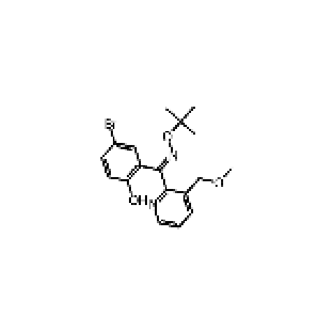 COCc1cccnc1C(=NOC(C)(C)C)c1cc(Br)ccc1O